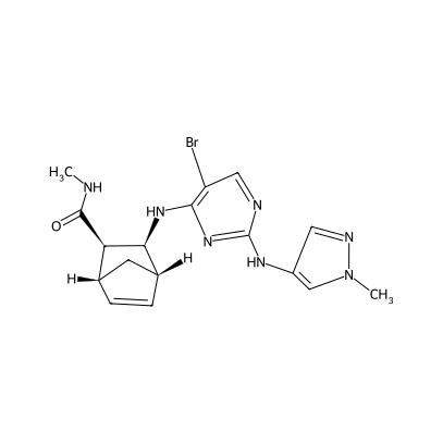 CNC(=O)[C@H]1[C@@H](Nc2nc(Nc3cnn(C)c3)ncc2Br)[C@@H]2C=C[C@H]1C2